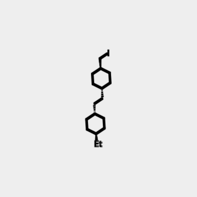 CC[C@H]1CC[C@H](CC[C@H]2CC[C@H](CI)CC2)CC1